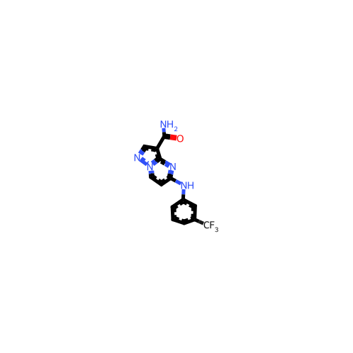 NC(=O)c1cnn2ccc(Nc3cccc(C(F)(F)F)c3)nc12